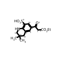 CCOC(=O)CC(=O)c1cc2c(c(S(=O)(=O)O)c1)NCC(C)(C)C2